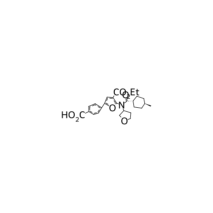 CCOC(=O)c1cc(-c2ccc(C(=O)O)cc2)oc1N(C(=O)[C@H]1CC[C@H](C)CC1)C1CCOC1